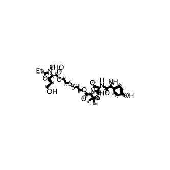 CC[C@H]1O/C(=C\CO)[C@H](C(=O)OCCSSCCOC(=O)C2N3C(=O)[C@H](NC(=O)C(N)c4ccc(O)cc4)[C@@H]3SC2(C)C)N1C=O